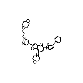 c1ccc(-c2ccn(-c3cc(N4CCOCC4)c4oc(-c5cnn(CCCN6CCOCC6)c5)cc4n3)n2)cc1